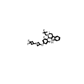 C[C@@H]1Cc2c([nH]c3ccccc23)[C@@H](c2c(F)cc(OC3CN(C4CC(F)(F)C4)C3)cc2F)N1CC(C)(C)F